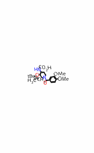 COc1ccc(C(=O)N2CC[C@@H](NC(=O)O)[C@@H](O[Si](C)(C)C(C)(C)C)C2)cc1OC